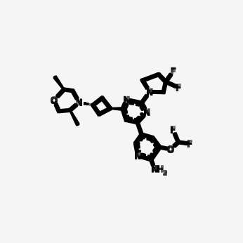 C[C@H]1CN([C@H]2C[C@H](c3cc(-c4cnc(N)c(OC(F)F)c4)nc(N4CCC(F)(F)C4)n3)C2)[C@@H](C)CO1